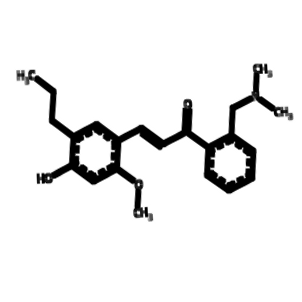 CCCc1cc(C=CC(=O)c2ccccc2CN(C)C)c(OC)cc1O